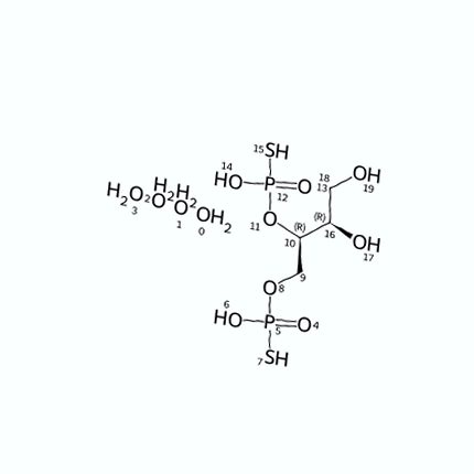 O.O.O.O.O=P(O)(S)OC[C@@H](OP(=O)(O)S)[C@H](O)CO